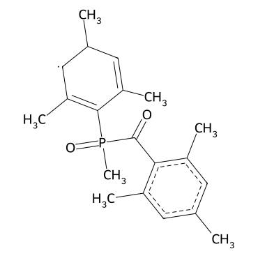 CC1=CC(C)[CH]C(C)=C1P(C)(=O)C(=O)c1c(C)cc(C)cc1C